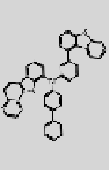 c1ccc(-c2ccc(N(c3cccc(-c4cccc5sc6ccccc6c45)c3)c3cccc4c3sc3c5ccccc5ccc43)cc2)cc1